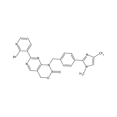 CC(C)c1ncccc1-c1ncc2c(n1)N(Cc1ccc(-c3nc(C(F)(F)F)cn3C)cc1)C(=O)OC2